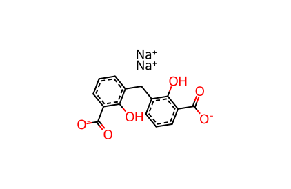 O=C([O-])c1cccc(Cc2cccc(C(=O)[O-])c2O)c1O.[Na+].[Na+]